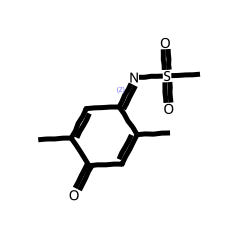 CC1=C/C(=N/S(C)(=O)=O)C(C)=CC1=O